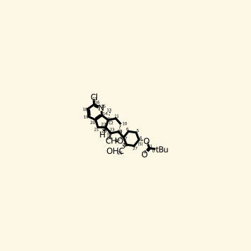 CC(C)(C)C(=O)O[C@H]1CC[C@](C)([C@H]2CC[C@]3(C)c4nc(Cl)ccc4C[C@H]3[C@@H]2C=O)[C@@H](C=O)C1